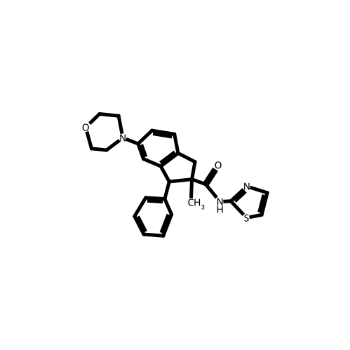 CC1(C(=O)Nc2nccs2)Cc2ccc(N3CCOCC3)cc2C1c1ccccc1